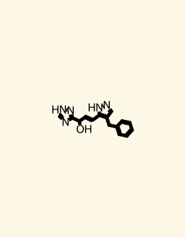 OC(C=Cc1[nH]ncc1Cc1ccccc1)c1nc[nH]n1